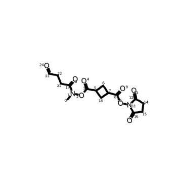 CN(OC(=O)C1CC(C(=O)ON2C(=O)CCC2=O)C1)C(=O)CCC=O